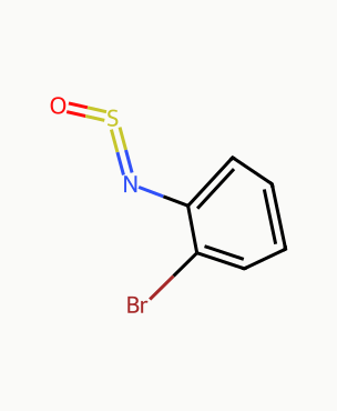 O=S=Nc1ccccc1Br